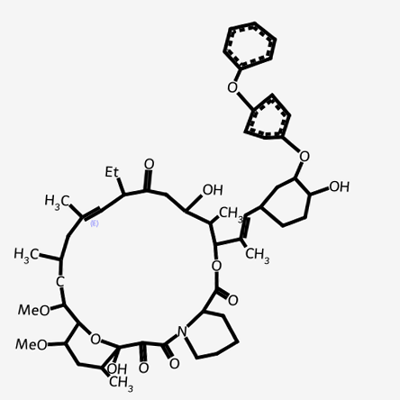 CCC1/C=C(\C)CC(C)CC(OC)C2OC(O)(C(=O)C(=O)N3CCCCC3C(=O)OC(C(C)=CC3CCC(O)C(Oc4ccc(Oc5ccccc5)cc4)C3)C(C)C(O)CC1=O)C(C)CC2OC